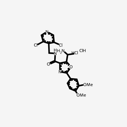 COc1ccc(-c2nc(C(=O)NCc3c(Cl)cncc3Cl)c(C(C)N)o2)cc1OC.Cl.Cl